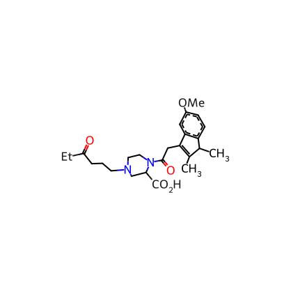 CCC(=O)CCCN1CCN(C(=O)CC2=C(C)C(C)c3ccc(OC)cc32)C(C(=O)O)C1